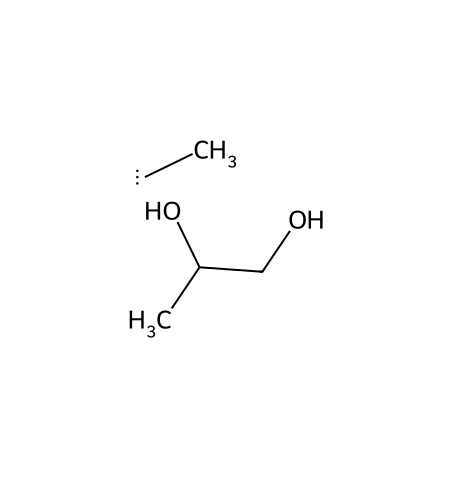 CC(O)CO.[C]C